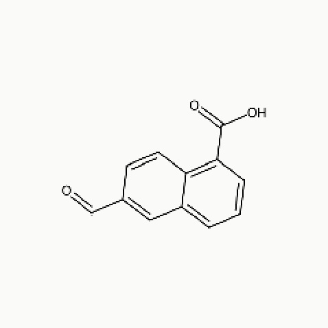 O=[C]c1ccc2c(C(=O)O)cccc2c1